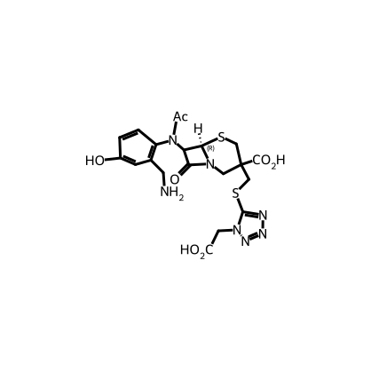 CC(=O)N(c1ccc(O)cc1CN)C1C(=O)N2CC(CSc3nnnn3CC(=O)O)(C(=O)O)CS[C@H]12